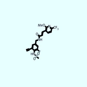 C#Cc1cc(CNC(=O)/C=C/c2ccc(C(F)(F)F)nc2OC)cc(F)c1NS(C)(=O)=O